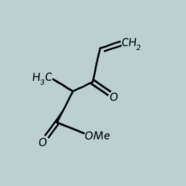 C=CC(=O)C(C)C(=O)OC